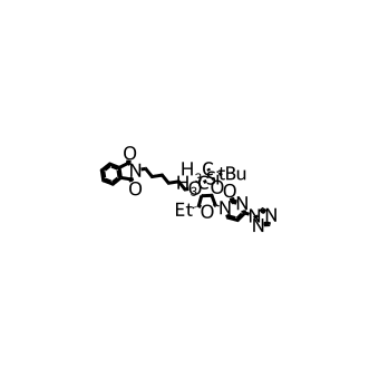 CC[C@H]1O[C@@H](n2ccc(-n3cncn3)nc2=O)[C@@H](O[Si](C)(C)C(C)(C)C)C1OCCCCCCN1C(=O)c2ccccc2C1=O